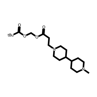 CN1CCC(C2CCN(CCC(=O)OCOC(=O)C(C)(C)C)CC2)CC1